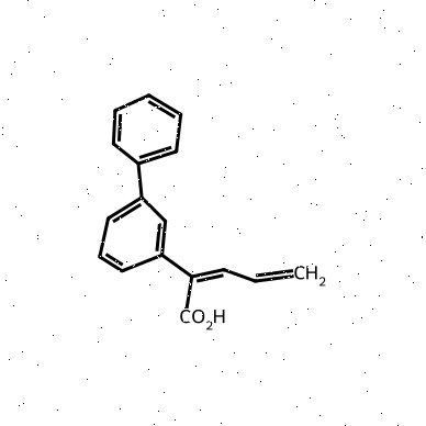 C=CC=C(C(=O)O)c1cccc(-c2ccccc2)c1